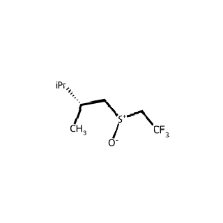 CC(C)[C@@H](C)C[S+]([O-])CC(F)(F)F